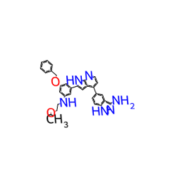 COCCNc1cc(OCc2ccccc2)cc(-c2cc3c(-c4ccc5[nH]nc(N)c5c4)ccnc3[nH]2)c1